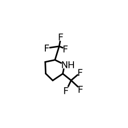 FC(F)(F)C1CCCC(C(F)(F)F)N1